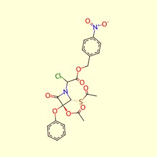 CC(=O)O[C@@]1(Oc2ccccc2)C(=O)N(C(Cl)C(=O)OCc2ccc([N+](=O)[O-])cc2)[C@@H]1SC(C)=O